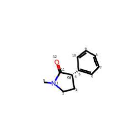 CN1CC[C@@H](c2ccccc2)C1=O